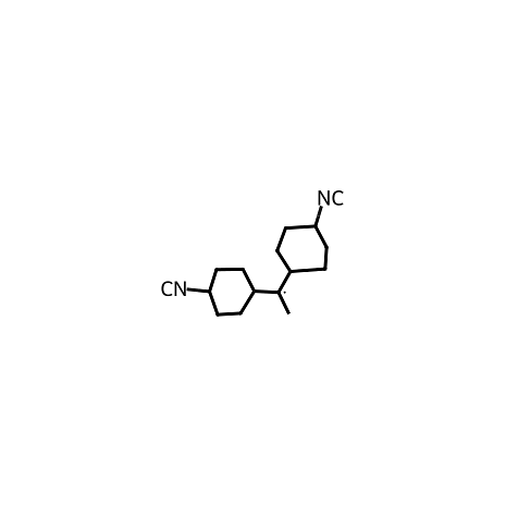 [C-]#[N+]C1CCC([C](C)C2CCC([N+]#[C-])CC2)CC1